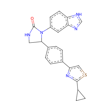 O=C1NCC(c2ccc(-c3csc(C4CC4)n3)cc2)N1c1ccc2[nH]cnc2c1